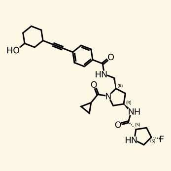 O=C(NC[C@H]1C[C@@H](NC(=O)[C@@H]2C[C@H](F)CN2)CN1C(=O)C1CC1)c1ccc(C#CC2CCCC(O)C2)cc1